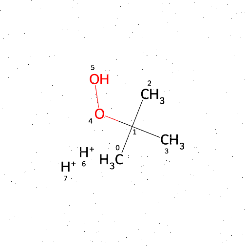 CC(C)(C)OO.[H+].[H+]